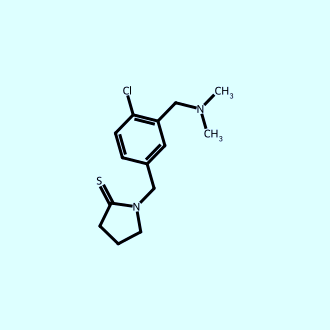 CN(C)Cc1cc(CN2CCCC2=S)ccc1Cl